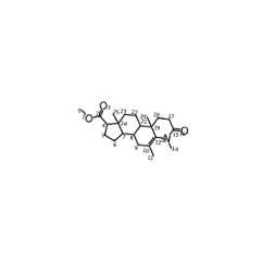 COC(=O)C1CCC2C3CC(C)=C4N(C)C(=O)CCC4(C)C3CCC12C